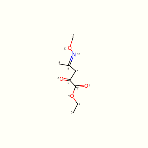 CCOC(=O)C(=O)C/C(C)=N/OC